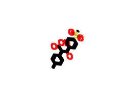 Cc1ccc(C(C(=O)O)C(=O)c2ccc(S(C)(=O)=O)cc2)cc1